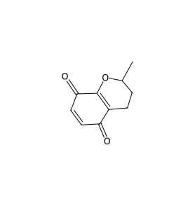 CC1CCC2=C(O1)C(=O)C=CC2=O